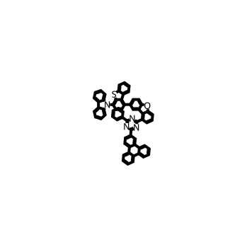 c1ccc(-c2nc(-c3ccc4c5ccccc5c5ccccc5c4c3)nc(-c3cccc4oc5ccc(-c6ccc(-n7c8ccccc8c8ccccc87)c7sc8ccccc8c67)cc5c34)n2)cc1